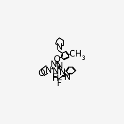 Cc1ccc(OC2=NC(N3CCOCC3)NC(n3c(C(F)F)nc4ccccc43)=N2)c(CN2CCCCC2)c1